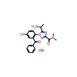 Br.CC(N)c1nc(C(=O)N(C)C)nn1-c1ccc(Cl)cc1C(=O)c1ccccc1